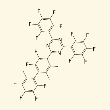 Cc1c(C)c(-c2c(C)c(C)c(-c3nc(-c4c(F)c(F)c(F)c(F)c4F)nc(-c4c(F)c(F)c(F)c(F)c4F)n3)c(F)c2F)c(F)c(F)c1F